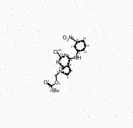 CC(C)(C)C(=O)OCn1ccc2c(Nc3cccc([N+](=O)[O-])c3)nc(Cl)nc21